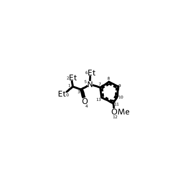 CCC(CC)C(=O)N(CC)c1cccc(OC)c1